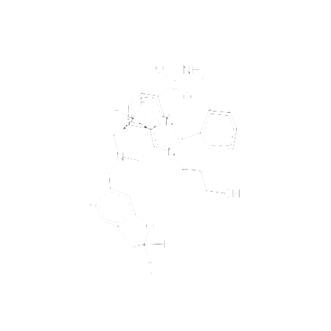 CCCCn1c(-c2ccccc2)nc(C(F)(F)F)c1CN(Cc1ccc(S(N)(=O)=O)cc1)Cc1ccc2c(c1)OC(F)(F)O2